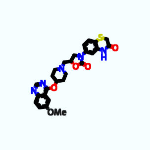 COc1ccc2ncnc(OC3CCN(CC4CN(c5ccc6c(c5)NC(=O)CS6)C(=O)O4)CC3)c2c1